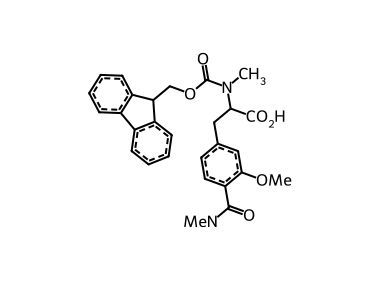 CNC(=O)c1ccc(CC(C(=O)O)N(C)C(=O)OCC2c3ccccc3-c3ccccc32)cc1OC